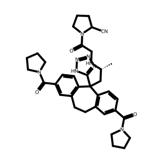 C[C@H](CC1(c2nnn[nH]2)c2ccc(C(=O)N3CCCC3)cc2CCc2cc(C(=O)N3CCCC3)ccc21)NCC(=O)N1CCCC1C#N